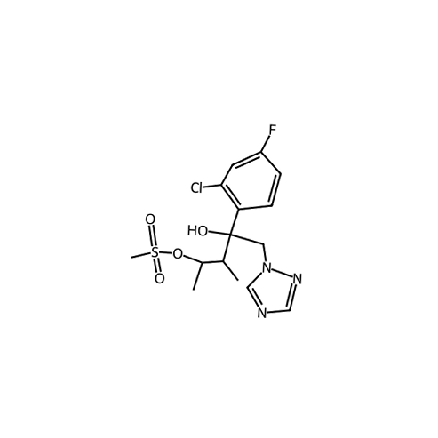 CC(OS(C)(=O)=O)C(C)C(O)(Cn1cncn1)c1ccc(F)cc1Cl